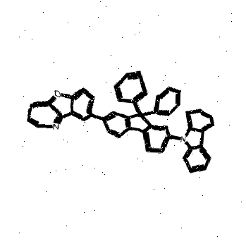 c1ccc(C2(c3ccccc3)c3cc(-c4ccc5oc6cccnc6c5c4)ccc3-c3ccc(-n4c5ccccc5c5ccccc54)cc32)cc1